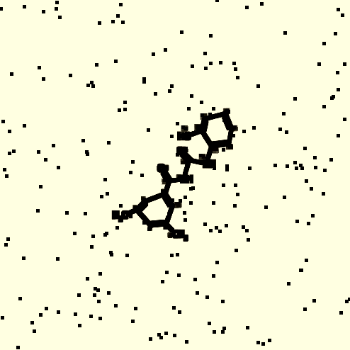 Cc1cc(C)cc(C(=O)NC(=S)Nc2ccccc2O)c1